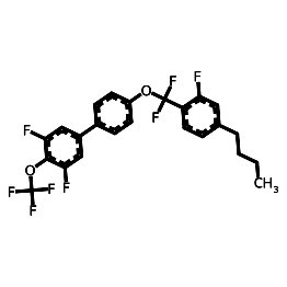 CCCCc1ccc(C(F)(F)Oc2ccc(-c3cc(F)c(OC(F)(F)F)c(F)c3)cc2)c(F)c1